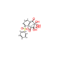 O=C1c2cccc(S(=O)(=O)c3ccccc3)c2C(=O)C(O)(O)C1(O)O